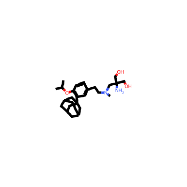 CC(C)Oc1ccc(CCN(C)CC(N)(CO)CO)cc1C12CC3CC(CC(C3)C1)C2